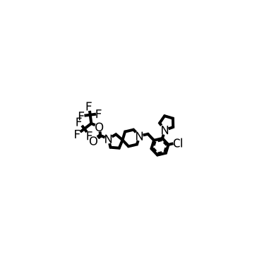 O=C(OC(C(F)(F)F)C(F)(F)F)N1CCC2(CCN(Cc3cccc(Cl)c3N3CCCC3)CC2)C1